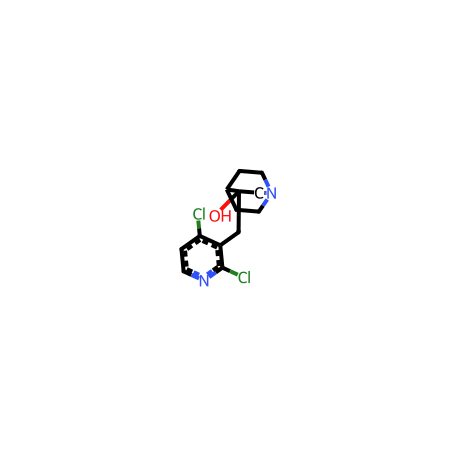 OC1(Cc2c(Cl)ccnc2Cl)CN2CCC1CC2